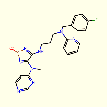 CN(c1ccncn1)c1n[s+]([O-])nc1NCCCN(Cc1ccc(F)cc1)c1ccccn1